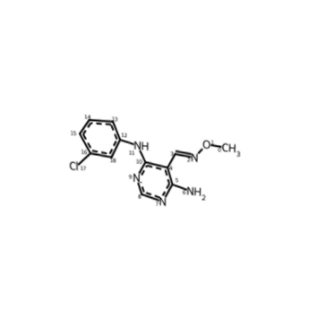 CON=Cc1c(N)ncnc1Nc1cccc(Cl)c1